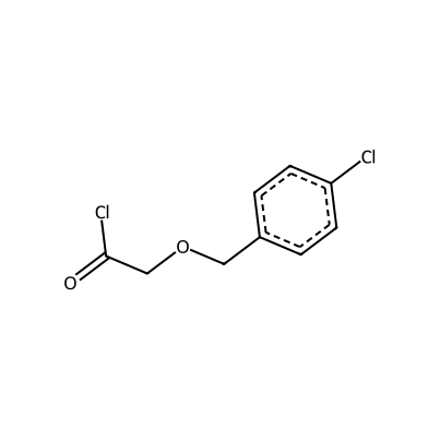 O=C(Cl)COCc1ccc(Cl)cc1